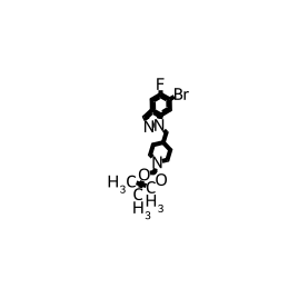 CC(C)(C)OC(=O)N1CCC(Cn2ncc3cc(F)c(Br)cc32)CC1